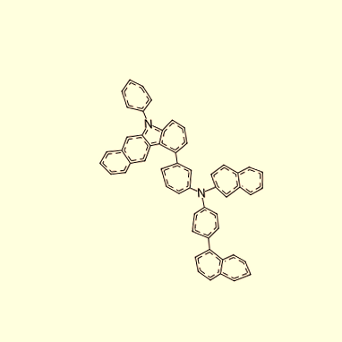 c1ccc(-n2c3cc4ccccc4cc3c3c(-c4cccc(N(c5ccc(-c6cccc7ccccc67)cc5)c5ccc6ccccc6c5)c4)cccc32)cc1